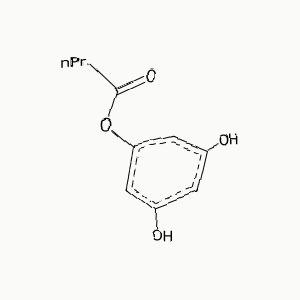 CCCC(=O)Oc1cc(O)cc(O)c1